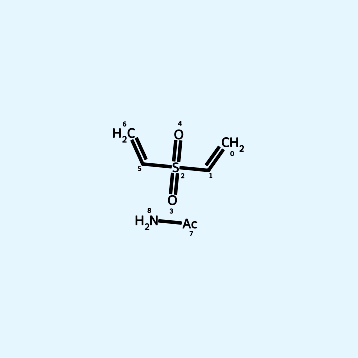 C=CS(=O)(=O)C=C.CC(N)=O